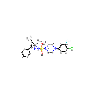 CC1[C@H](c2ccccc2)[C@]1(NS(=O)(=O)N1CCN(c2ccc(Cl)c(F)c2)CC1)C(=O)O